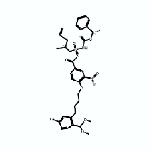 C=CC[C@H](C)CS(=O)(=NC(=O)c1ccc(OCCCCc2cc(Cl)ccc2C(OC)OC)c([N+](=O)[O-])c1)NC(=O)O[C@@H](C)c1ccccc1